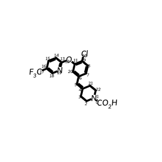 O=C(O)N1CCC(=Cc2ccc(Cl)c(Oc3ccc(C(F)(F)F)cn3)c2)CC1